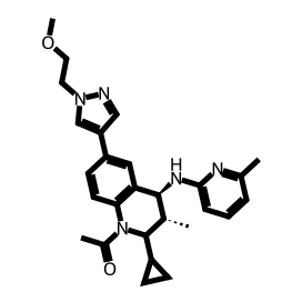 COCCn1cc(-c2ccc3c(c2)[C@@H](Nc2cccc(C)n2)[C@H](C)C(C2CC2)N3C(C)=O)cn1